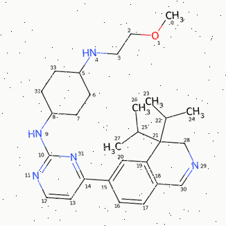 COCCNC1CCC(Nc2nccc(-c3ccc4c(c3)C(C(C)C)(C(C)C)CN=C4)n2)CC1